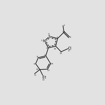 C=C(C)c1snc(C2=CCC(C)(CC)C=C2)c1CCl